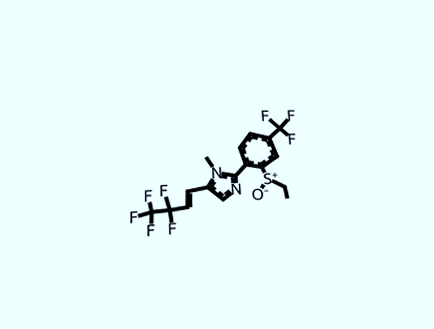 CC[S+]([O-])c1cc(C(F)(F)F)ccc1-c1ncc(/C=C/C(F)(F)C(F)(F)F)n1C